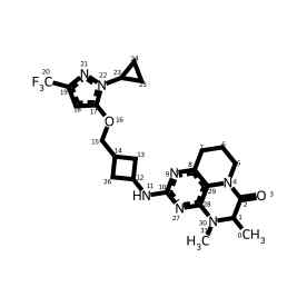 CC1C(=O)N2CCCc3nc(NC4CC(COc5cc(C(F)(F)F)nn5C5CC5)C4)nc(c32)N1C